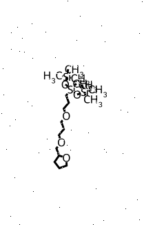 C[Si](C)(C)O[Si](C)(CCCOCCCOCC1CCCO1)O[Si](C)(C)C